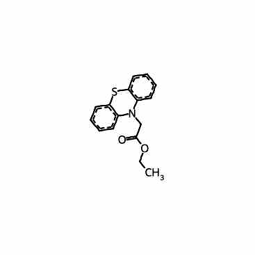 CCOC(=O)CN1c2ccccc2Sc2ccccc21